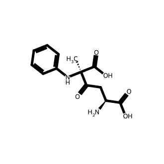 C[C@](Nc1ccccc1)(C(=O)O)C(=O)C[C@H](N)C(=O)O